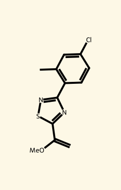 C=C(OC)c1nc(-c2ccc(Cl)cc2C)ns1